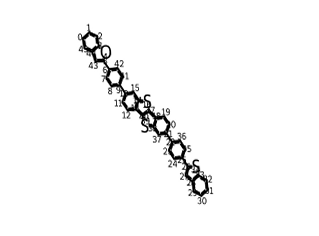 c1ccc2oc(-c3ccc(-c4ccc5c(c4)sc4c6ccc(-c7ccc(-c8cc9ccccc9s8)cc7)cc6sc54)cc3)cc2c1